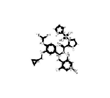 O=C(O[C@@H](Cc1c(Cl)c[n+]([O-])cc1Cl)c1ccc(OC(F)F)c(OCC2CC2)c1)C1SCCN1S(=O)(=O)c1cccs1